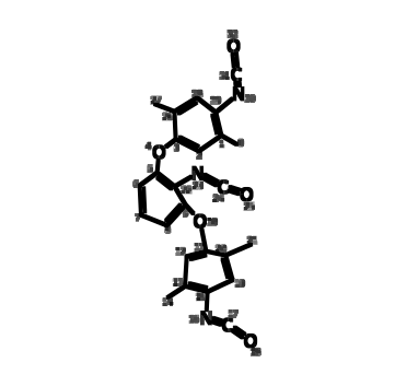 Cc1cc(Oc2cccc(Oc3cc(C)c(N=C=O)cc3C)c2N=C=O)c(C)cc1N=C=O